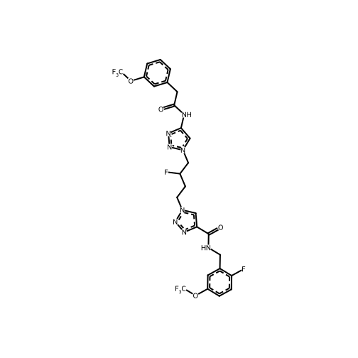 O=C(Cc1cccc(OC(F)(F)F)c1)Nc1cn(CC(F)CCn2cc(C(=O)NCc3cc(OC(F)(F)F)ccc3F)nn2)nn1